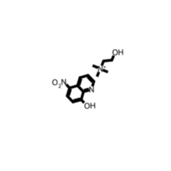 C[N+](C)(C)CCO.O=[N+]([O-])c1ccc(O)c2ncccc12